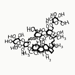 C[C@H](CC[C@@H](O[C@@H]1O[C@H](CO[C@@H]2O[C@H](CO)[C@@H](O)[C@H](O)[C@H]2O)[C@@H](O)[C@H](O)[C@H]1O[C@@H]1O[C@H](CO)C[C@H](O)[C@H]1O)C(C)(C)O)C1CC[C@@]2(C)C3CC=C4C(CC[C@H](O[C@@H]5O[C@H](CO)[C@@H](O[C@@H]6O[C@H](CO)[C@@H](O)[C@H](O)[C@H]6O)[C@H](O)[C@H]5O)C4(C)C)[C@]3(C)[C@H](O)C[C@]12C